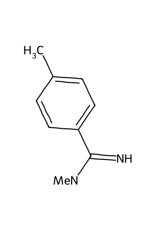 CNC(=N)c1ccc(C)cc1